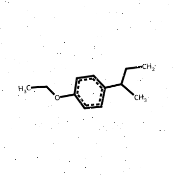 [CH2]CC(C)c1ccc(OCC)cc1